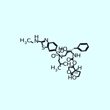 CCNc1nc2ccc(S(=O)(=O)N(CC(C)C)C[C@@H](O)[C@H](Cc3ccccc3)NC(=O)OC3CO[C@H]4OCC[C@@H]34)cc2s1